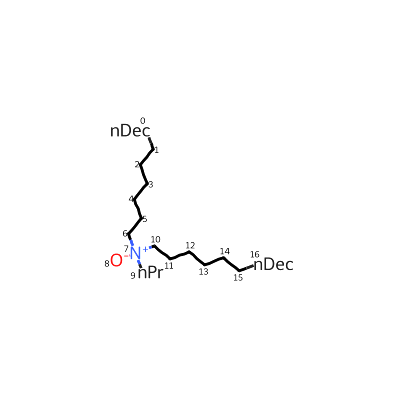 CCCCCCCCCCCCCCCC[N+]([O-])(CCC)CCCCCCCCCCCCCCCC